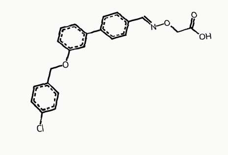 O=C(O)CON=Cc1ccc(-c2cccc(OCc3ccc(Cl)cc3)c2)cc1